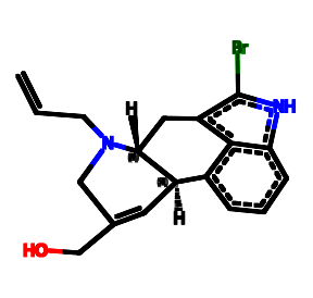 C=CCN1CC(CO)=C[C@@H]2c3cccc4[nH]c(Br)c(c34)C[C@H]21